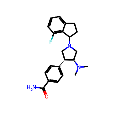 CN(C)[C@@H]1CN(C2CCc3cccc(F)c32)C[C@H]1c1ccc(C(N)=O)cc1